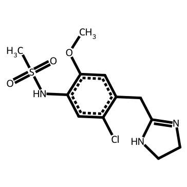 COc1cc(CC2=NCCN2)c(Cl)cc1NS(C)(=O)=O